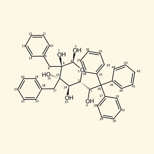 OC([C@H]1O[C@H](O)[C@@](O)(Cc2ccccc2)[C@](O)(Cc2ccccc2)[C@@H]1O)C(c1ccccc1)(c1ccccc1)c1ccccc1